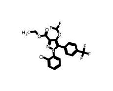 CCOC(=O)c1nn(-c2ccccc2Cl)c(-c2ccc(C(F)(F)F)cc2)c1OC(F)F